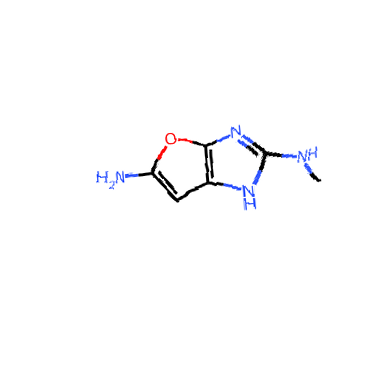 CNc1nc2oc(N)cc2[nH]1